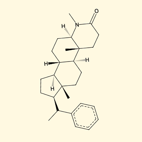 CC(c1ccccc1)[C@H]1CC[C@H]2[C@@H]3CC[C@H]4N(C)C(=O)CC[C@]4(C)[C@H]3CC[C@]12C